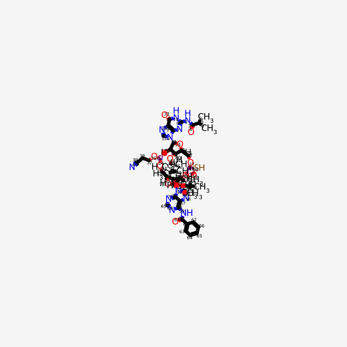 CC(C)C(=O)Nc1nc2c(ncn2[C@@H]2O[C@@H]3COP(=O)(S)O[C@@H]4[C@H](O[Si](C)(C)C(C)(C)C)[C@@H](COP(OCCC#N)O[C@@H]2[C@@H]3O[Si](C)(C)C(C)(C)C)O[C@H]4n2cnc3c(NC(=O)c4ccccc4)ncnc32)c(=O)[nH]1